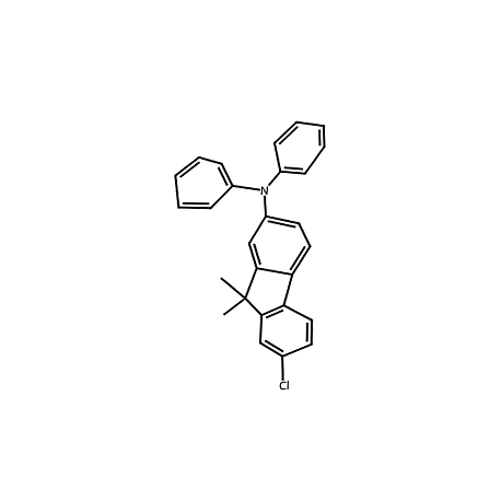 CC1(C)c2cc(Cl)ccc2-c2ccc(N(c3ccccc3)c3ccccc3)cc21